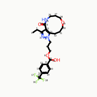 CCc1nn(CCCOC(O)c2ccc(C(F)(F)F)cc2)c2c1C(=O)NCCCOCCC2